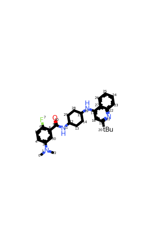 CN(C)c1ccc(F)c(C(=O)NC2CCC(Nc3cc(C(C)(C)C)nc4ccccc34)CC2)c1